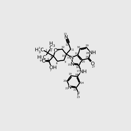 CC(C)(C)C1(C(=O)O)CCC(CC#N)(n2nc(Nc3ccnc(F)c3)c3c(=O)[nH]ccc32)CO1